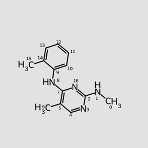 CNc1ncc(C)c(Nc2ccccc2C)n1